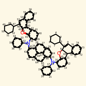 C1=C(C2CCCCC2)C2Oc3c(cccc3N(c3ccccc3)c3ccc4ccc5c(N(c6ccccc6)c6cccc7c6oc6c(C8CCCCC8)cc8ccccc8c67)ccc6ccc3c4c65)C2c2ccccc21